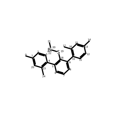 Cc1ccc(-c2cccc(-c3ccc(C)cc3C)c2[S][Bi]([CH3])[CH3])c(C)c1